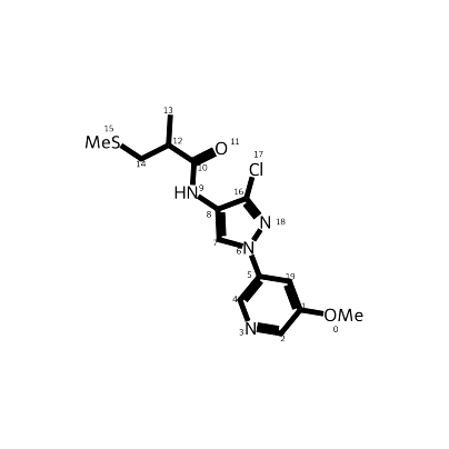 COc1cncc(-n2cc(NC(=O)C(C)CSC)c(Cl)n2)c1